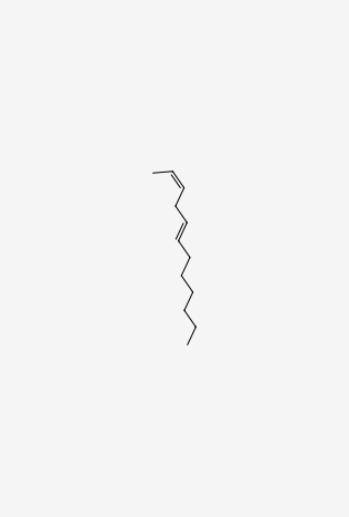 C/C=C\CC=CCCCCCC